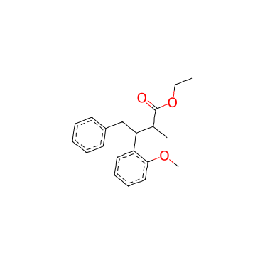 CCOC(=O)C(C)C(Cc1ccccc1)c1ccccc1OC